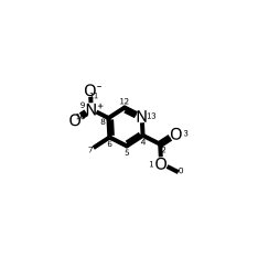 COC(=O)c1cc(C)c([N+](=O)[O-])cn1